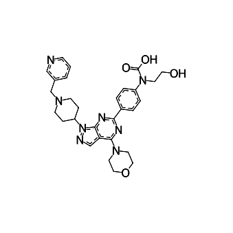 O=C(O)N(CCO)c1ccc(-c2nc(N3CCOCC3)c3cnn(C4CCN(Cc5cccnc5)CC4)c3n2)cc1